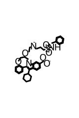 COC(=O)c1ccc2c(C3CCCCC3)c3n(c2c1)C[C@H](OCCN(C)CCCS(=O)(=O)NCc1ccccc1)COc1ccccc1-3